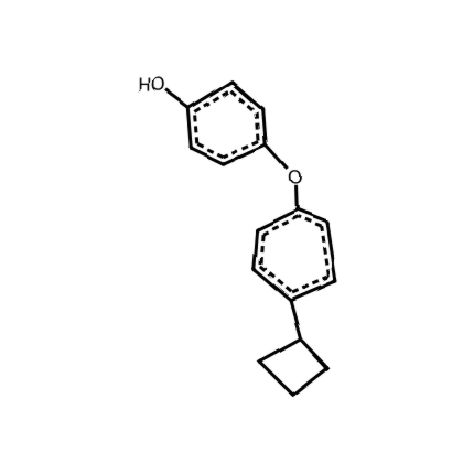 Oc1ccc(Oc2ccc(C3CCC3)cc2)cc1